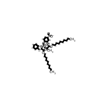 CCCCCCCCCCOC(=O)[C@H](Cc1ccccc1)NP(=O)(Oc1ccc([N+](=O)[O-])cc1)O[C@@H](C)C(=O)OCCCCCCCCCC